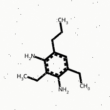 CCCc1cc(CC)c(N)c(CC)c1N